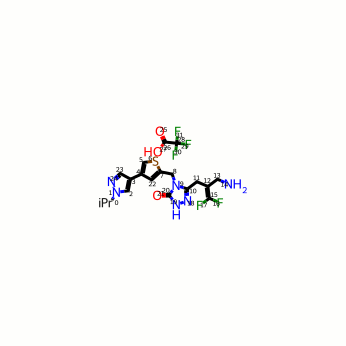 CC(C)n1cc(-c2csc(Cn3c(CC(CN)=C(F)F)n[nH]c3=O)c2)cn1.O=C(O)C(F)(F)F